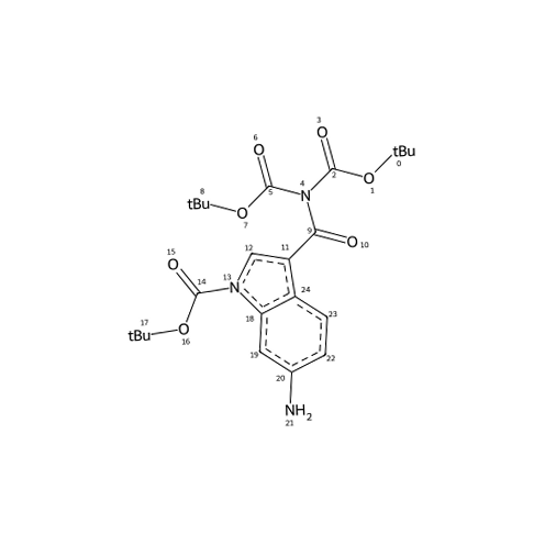 CC(C)(C)OC(=O)N(C(=O)OC(C)(C)C)C(=O)c1cn(C(=O)OC(C)(C)C)c2cc(N)ccc12